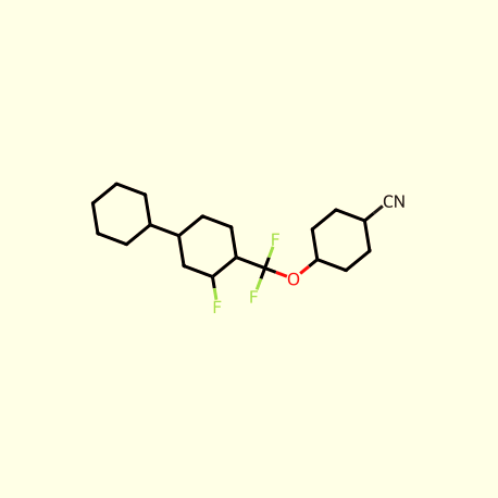 N#CC1CCC(OC(F)(F)C2CCC(C3CCCCC3)CC2F)CC1